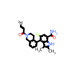 [2H]/C=C/C(=O)N1CCc2c(cccc2-c2c(F)cc(C(N)=O)c3[nH]c(C)c(C)c23)C1